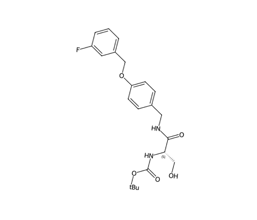 CC(C)(C)OC(=O)N[C@@H](CO)C(=O)NCc1ccc(OCc2cccc(F)c2)cc1